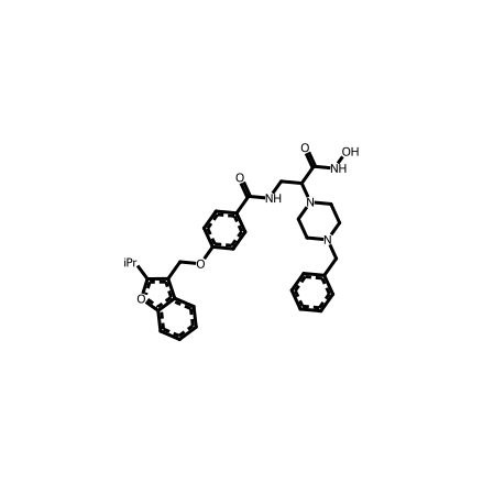 CC(C)c1oc2ccccc2c1COc1ccc(C(=O)NCC(C(=O)NO)N2CCN(Cc3ccccc3)CC2)cc1